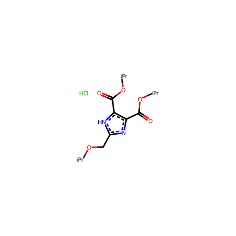 CC(C)OCc1nc(C(=O)OC(C)C)c(C(=O)OC(C)C)[nH]1.Cl